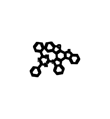 c1ccc(-c2nc(-c3ccccc3)nc(-n3c4ccccc4c4c5c6ccccc6sc5c5oc6ccccc6c5c43)n2)cc1